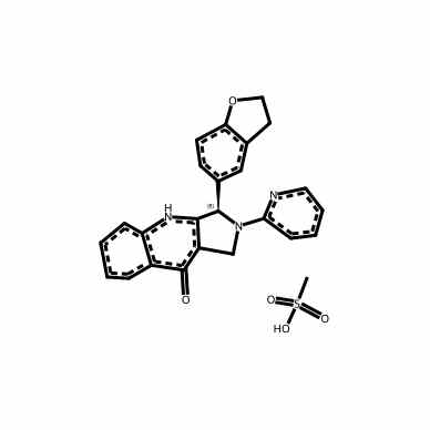 CS(=O)(=O)O.O=c1c2c([nH]c3ccccc13)[C@@H](c1ccc3c(c1)CCO3)N(c1ccccn1)C2